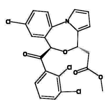 COC(=O)C[C@@H]1O[C@@H](C(=O)c2cccc(Cl)c2Cl)c2cc(Cl)ccc2-n2cccc21